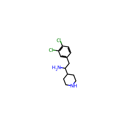 NC(Cc1ccc(Cl)c(Cl)c1)C1CCNCC1